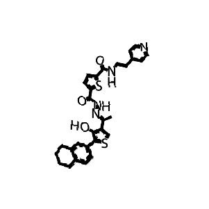 CC(=NNC(=O)c1ccc(C(=O)NCCc2ccncc2)s1)c1csc(-c2ccc3c(c2)CCCC3)c1O